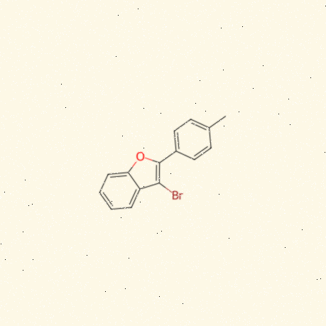 Cc1ccc(-c2oc3ccccc3c2Br)cc1